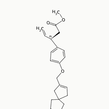 C=C[C@@H](CC(=O)OC)c1ccc(OCC2=CCC3(CCCC3)C2)cc1